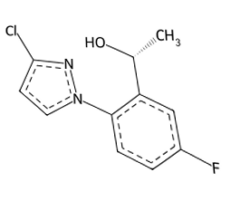 C[C@@H](O)c1cc(F)ccc1-n1ccc(Cl)n1